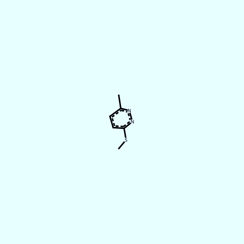 CSc1ccc(C)nn1